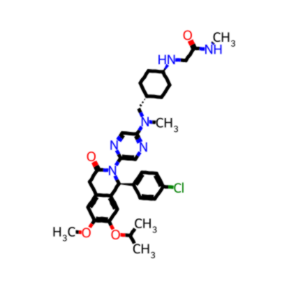 CNC(=O)CN[C@H]1CC[C@H](CN(C)c2cnc(N3C(=O)Cc4cc(OC)c(OC(C)C)cc4[C@@H]3c3ccc(Cl)cc3)cn2)CC1